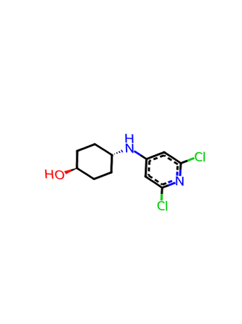 O[C@H]1CC[C@H](Nc2cc(Cl)nc(Cl)c2)CC1